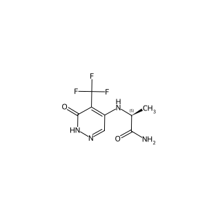 C[C@H](Nc1cn[nH]c(=O)c1C(F)(F)F)C(N)=O